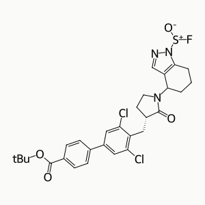 CC(C)(C)OC(=O)c1ccc(-c2cc(Cl)c(C[C@@H]3CCN(C4CCCc5c4cnn5[S+]([O-])F)C3=O)c(Cl)c2)cc1